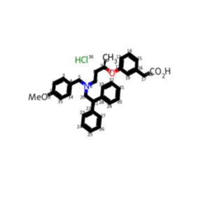 COc1ccc(CN(CC[C@@H](C)Oc2cccc(CC(=O)O)c2)CC(c2ccccc2)c2ccccc2)cc1.Cl